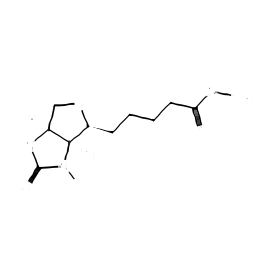 CCCCNC(=O)CCCC[C@@H]1SC[C@@H]2NC(=O)N(C)[C@@H]21